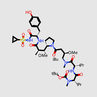 CC[C@H](C)[C@@H]([C@@H](CC(=O)N1CCC[C@H]1[C@H](OC)[C@@H](C)C(=O)N[C@@H](Cc1ccc(O)cc1)C(=O)NS(=O)(=O)C1CC1)OC)N(C)C(=O)[C@@H](NC(=O)[C@H](C(C)C)N(C)C(=O)OC(C)(C)C)C(C)C